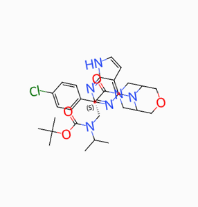 CC(C)N(C[C@@H](C(=O)N1CC2COCC(C1)N2c1ncnc2[nH]ccc12)c1ccc(Cl)cc1)C(=O)OC(C)(C)C